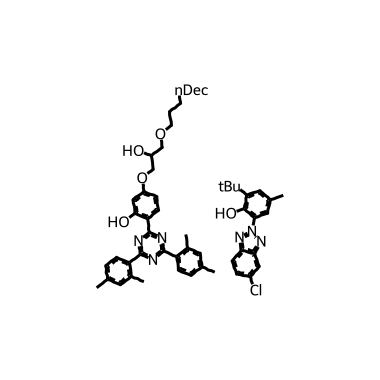 CCCCCCCCCCCCCOCC(O)COc1ccc(-c2nc(-c3ccc(C)cc3C)nc(-c3ccc(C)cc3C)n2)c(O)c1.Cc1cc(-n2nc3ccc(Cl)cc3n2)c(O)c(C(C)(C)C)c1